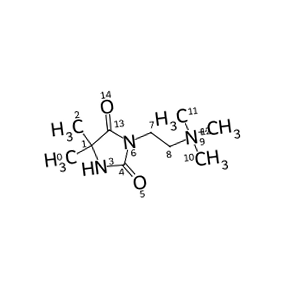 CC1(C)NC(=O)N(CC[N+](C)(C)C)C1=O